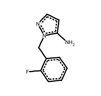 Nc1ccnn1Cc1ccccc1F